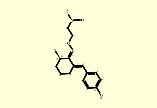 CC(C)N(CCO/N=C1/C(=C/c2ccc(Cl)cc2)CCC[C@H]1C)C(C)C